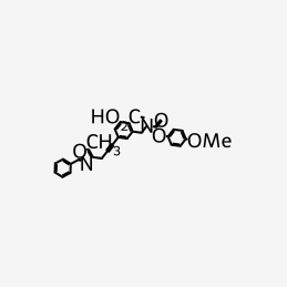 COc1ccc(OC(=O)N(CC(=O)O)Cc2cccc(C#CCc3nc(-c4ccccc4)oc3C)c2)cc1